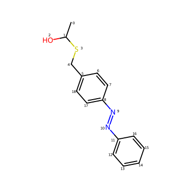 CC(O)SCc1ccc(N=Nc2ccccc2)cc1